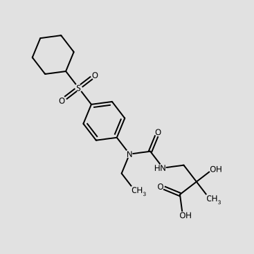 CCN(C(=O)NCC(C)(O)C(=O)O)c1ccc(S(=O)(=O)C2CCCCC2)cc1